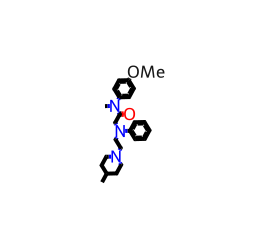 COc1ccc(N(C)C(=O)CN(CCN2CCC(C)CC2)c2ccccc2)cc1